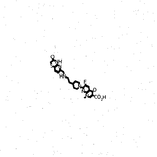 Cn1cc(C(=O)O)c(=O)c2cc(F)c(N3CCC(CCNCc4ccc5c(n4)NC(=O)CS5)CC3)nc21